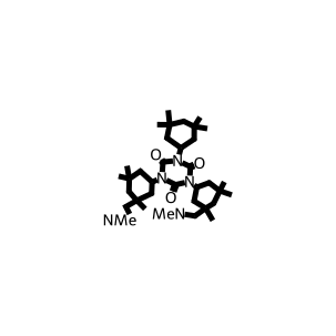 CNCC1(C)CC(n2c(=O)n(C3CC(C)(C)CC(C)(C)C3)c(=O)n(C3CC(C)(C)CC(C)(CNC)C3)c2=O)CC(C)(C)C1